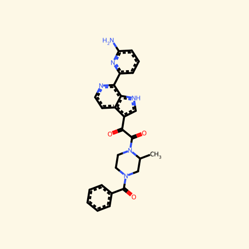 CC1CN(C(=O)c2ccccc2)CCN1C(=O)C(=O)c1c[nH]c2c(-c3cccc(N)n3)nccc12